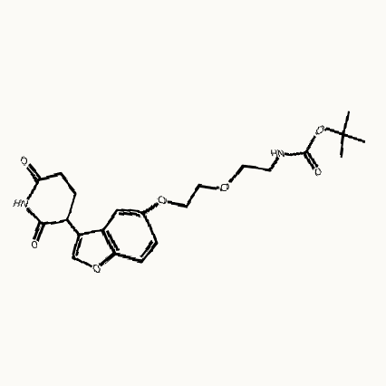 CC(C)(C)OC(=O)NCCOCCOc1ccc2occ(C3CCC(=O)NC3=O)c2c1